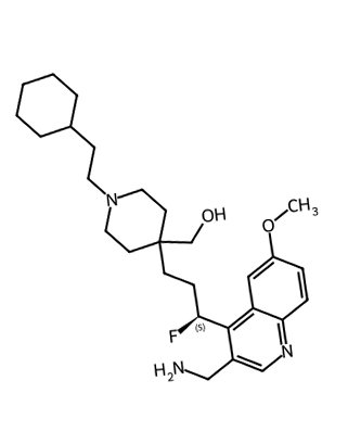 COc1ccc2ncc(CN)c([C@@H](F)CCC3(CO)CCN(CCC4CCCCC4)CC3)c2c1